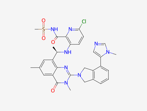 Cc1cc([C@@H](C)Nc2ccc(Cl)nc2C(=O)NS(C)(=O)=O)c2nc(N3Cc4cccc(-c5cncn5C)c4C3)n(C)c(=O)c2c1